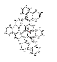 c1ccc(-c2ccc3cc(N(c4ccccc4-c4ccc5c(c4)c(-c4ccccc4)c(-c4ccccc4)c4ccccc45)c4cc5ccccc5c5ccccc45)ccc3c2)cc1